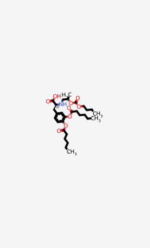 CCCCCC(=O)Oc1ccc(C[C@H](NCC(C)OC(=O)OCCCC)C(=O)O)cc1OC(=O)CCCCC